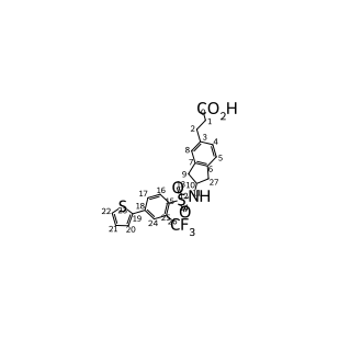 O=C(O)CCc1ccc2c(c1)CC(NS(=O)(=O)c1ccc(-c3cccs3)cc1C(F)(F)F)C2